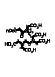 CCCCCCCCCCCC(=O)N(C)CC(=O)O.O=C(O)CN(CCN(CC(=O)O)CC(=O)O)CC(=O)O